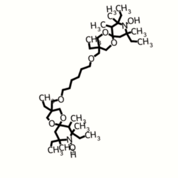 CCC1(COCCCCCCOCC2(CC)COC3(CC(C)(CC)N(O)C(C)(CC)C3C)OC2)COC2(CC(C)(CC)N(O)C(C)(CC)C2C)OC1